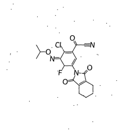 CC(C)ON=C1C(Cl)=C(C(=O)C#N)C=C(N2C(=O)C3=C(CCCC3)C2=O)C1F